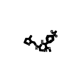 COC1NCC(NCC2SCCC2C)NC1c1ccc(S(C)(=O)=O)cc1